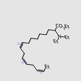 CC/C=C\C/C=C\C/C=C\CCCCCCC(C(=O)OCC)N(CC)CC